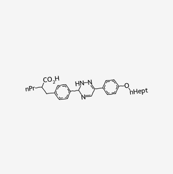 CCCCCCCOc1ccc(C2=NNC(c3ccc(CC(CCC)C(=O)O)cc3)N=C2)cc1